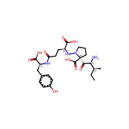 CC[C@H](C)[C@H](N)C(=O)[C@@]1(C(=O)O)CCCN1N[C@@H](CCC(=O)N[C@@H](Cc1ccc(O)cc1)C(=O)O)C(=O)O